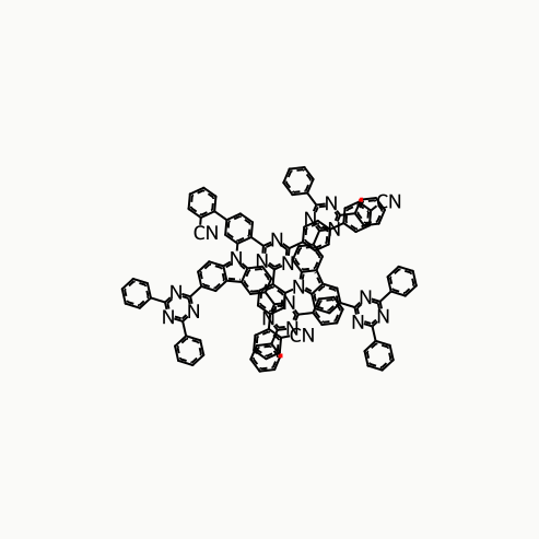 N#Cc1ccc(-c2ccc(-c3nc(-c4ccc(-c5ccccc5C#N)cc4-n4c5ccc(-c6nc(-c7ccccc7)nc(-c7ccccc7)n6)cc5c5cc(-c6nc(-c7ccccc7)nc(-c7ccccc7)n6)ccc54)nc(-c4ccc(-c5ccccc5C#N)cc4-n4c5ccc(-c6nc(-c7ccccc7)nc(-c7ccccc7)n6)cc5c5cc(-c6nc(-c7ccccc7)nc(-c7ccccc7)n6)ccc54)n3)cc2)cc1